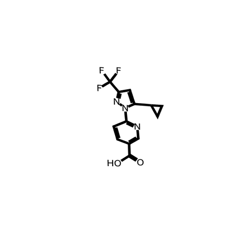 O=C(O)c1ccc(-n2nc(C(F)(F)F)cc2C2CC2)nc1